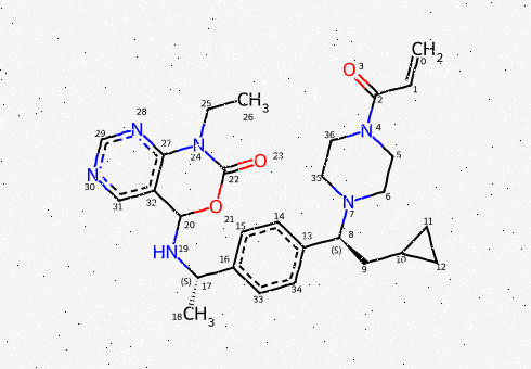 C=CC(=O)N1CCN([C@@H](CC2CC2)c2ccc([C@H](C)NC3OC(=O)N(CC)c4ncncc43)cc2)CC1